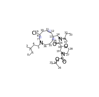 CCC(C)CCN1/C=C(/Cl)C/C=C\C(CN(C(=O)C2CN(C(=O)OC(C)C)CCO2)C(C)CC)=C/CC1